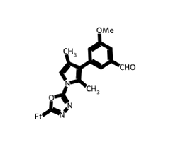 CCc1nnc(-n2cc(C)c(-c3cc(C=O)cc(OC)c3)c2C)o1